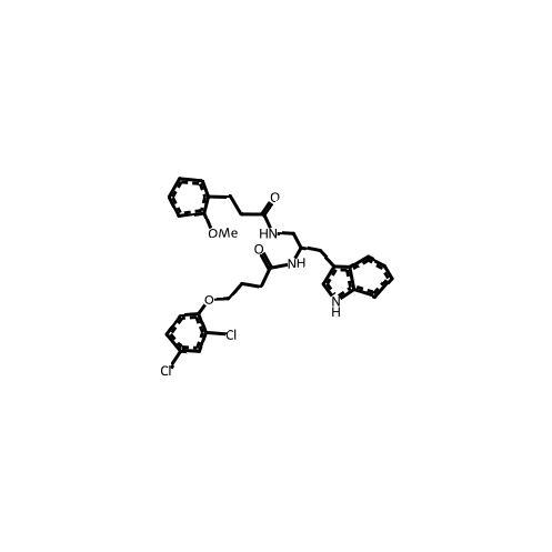 COc1ccccc1CCC(=O)NCC(Cc1c[nH]c2ccccc12)NC(=O)CCCOc1ccc(Cl)cc1Cl